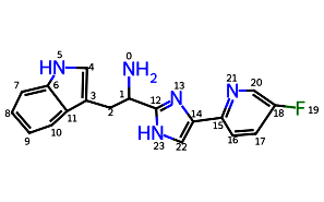 NC(Cc1c[nH]c2ccccc12)c1nc(-c2ccc(F)cn2)c[nH]1